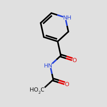 O=C(O)C(=O)NC(=O)C1=CC=CNC1